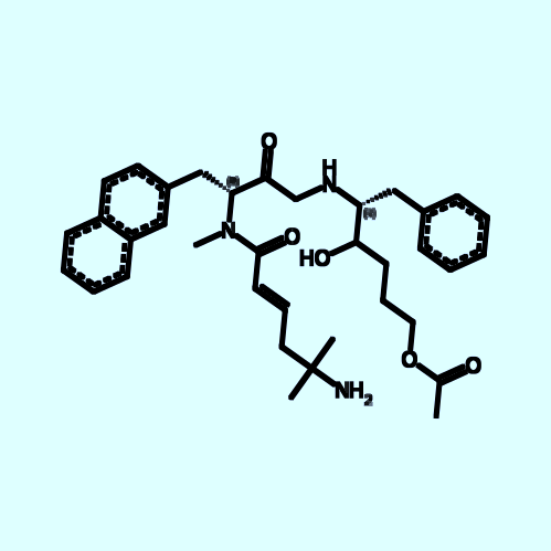 CC(=O)OCCCC(O)[C@@H](Cc1ccccc1)NCC(=O)[C@@H](Cc1ccc2ccccc2c1)N(C)C(=O)C=CCC(C)(C)N